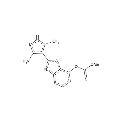 COC(=O)Oc1cccc2nc(-c3c(N)n[nH]c3C)sc12